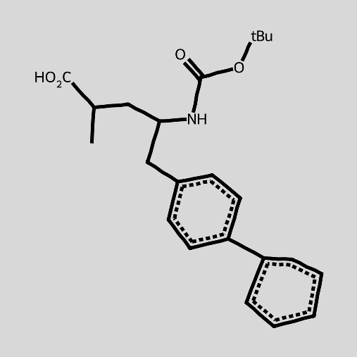 CC(CC(Cc1ccc(-c2ccccc2)cc1)NC(=O)OC(C)(C)C)C(=O)O